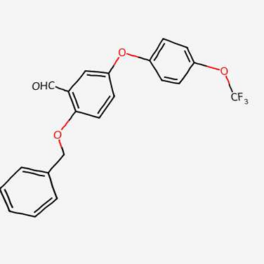 O=Cc1cc(Oc2ccc(OC(F)(F)F)cc2)ccc1OCc1ccccc1